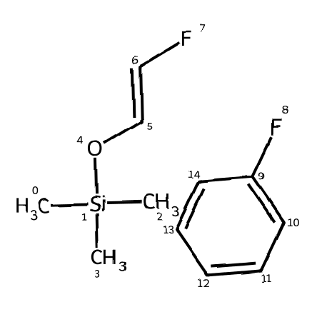 C[Si](C)(C)OC=CF.Fc1ccccc1